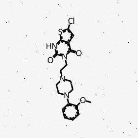 COc1ccccc1N1CCN(CCn2c(=O)[nH]c3sc(Cl)cc3c2=O)CC1